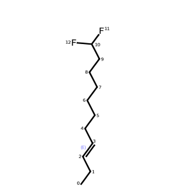 CC/C=C/CCCCCCC(F)F